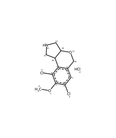 COc1c(Cl)cc2c(c1Cl)C1CNCC1OC2.Cl